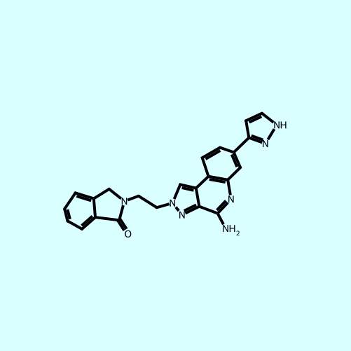 Nc1nc2cc(-c3cc[nH]n3)ccc2c2cn(CCN3Cc4ccccc4C3=O)nc12